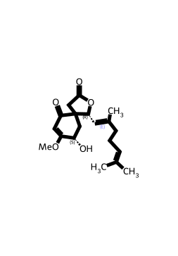 COC1=CC(=O)C2(CC(=O)O[C@@H]2/C=C(\C)CCC=C(C)C)C[C@@H]1O